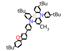 Cc1cc2c3c(c1)N(c1ccc(C(C)(C)C)cc1)c1cc(C(C)(C)C)ccc1B3c1cc(C(C)(C)C)ccc1N2c1ccc(-c2ccc3c(c2)oc2cc(C(C)(C)C)ccc23)cc1